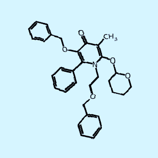 Cc1c(OC2CCCCO2)n(CCOCc2ccccc2)c(-c2ccccc2)c(OCc2ccccc2)c1=O